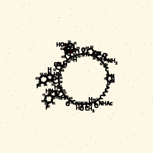 CC(=O)N[C@H]1CCCCn2cc(nn2)CC[C@@H](C(N)=O)NC(=O)[C@]2(C)CCCN2C(=O)[C@H](Cc2ccc(O)cc2)NC(=O)[C@H](Cc2cnc[nH]2)CC(=O)[C@H](CC(=O)O)NC(=O)[C@H](Cc2c[nH]c3ccc(F)cc23)NC(=O)[C@H](Cc2c[nH]c3ccc(F)cc23)NC(=O)CNC(=O)[C@H](C)NC1=O